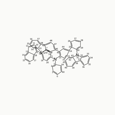 c1ccc(N(c2ccc(-c3cccc4ccccc34)cc2)c2ccc(-c3ccccc3-n3c4ccccc4c4ccccc43)cc2-c2ccc3c(c2)sc2ccccc23)cc1